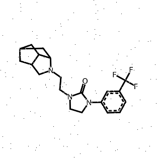 O=C1N(CCN2CC3CC4CC3C2C4)CCN1c1cccc(C(F)(F)F)c1